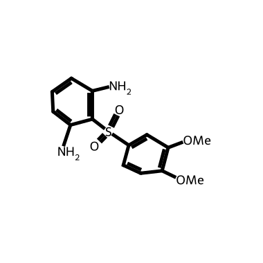 COc1ccc(S(=O)(=O)c2c(N)cccc2N)cc1OC